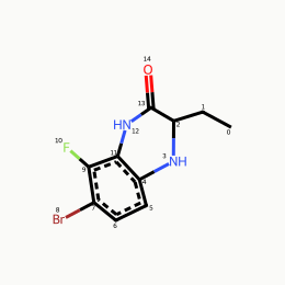 CCC1Nc2ccc(Br)c(F)c2NC1=O